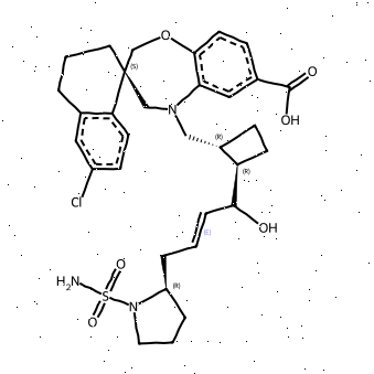 NS(=O)(=O)N1CCC[C@@H]1C/C=C/C(O)[C@@H]1CC[C@H]1CN1C[C@@]2(CCCc3cc(Cl)ccc32)COc2ccc(C(=O)O)cc21